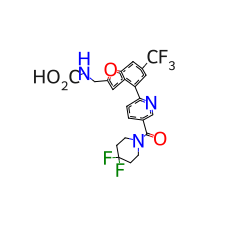 O=C(O)NCc1cc2c(-c3ccc(C(=O)N4CCC(F)(F)CC4)cn3)cc(C(F)(F)F)cc2o1